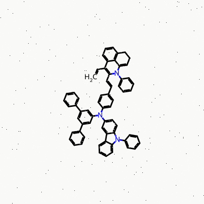 C=CC1=C(/C=C/c2ccc(N(c3cc(-c4ccccc4)cc(-c4ccccc4)c3)c3ccc4c(c3)c3ccccc3n4-c3ccccc3)cc2)N(c2ccccc2)C2=CCCc3cccc1c32